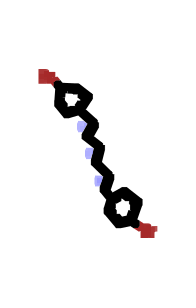 Brc1ccc(/C=C/C=C/C=C/c2ccc(Br)cc2)cc1